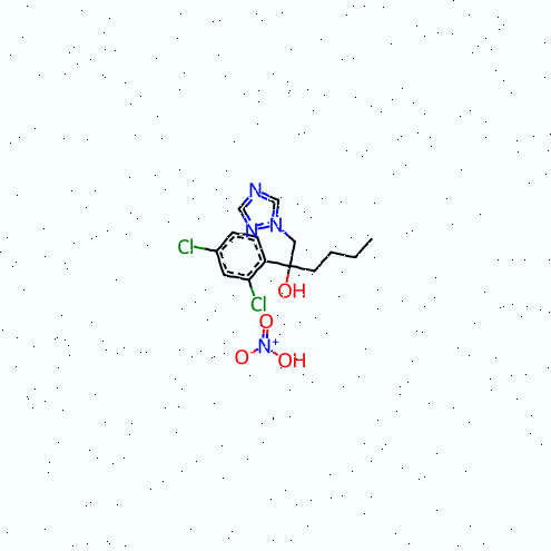 CCCCC(O)(Cn1cncn1)c1ccc(Cl)cc1Cl.O=[N+]([O-])O